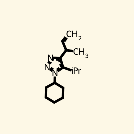 C=CC(C)c1nnn(C2CCCCC2)c1C(C)C